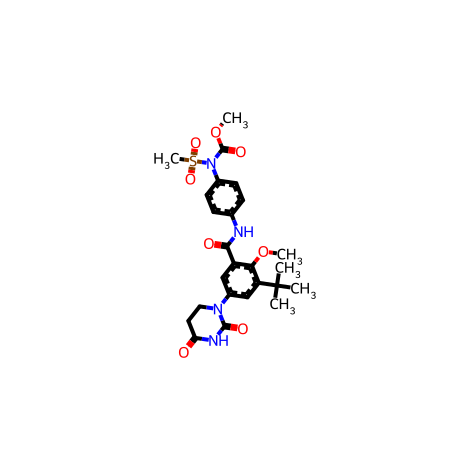 COC(=O)N(c1ccc(NC(=O)c2cc(N3CCC(=O)NC3=O)cc(C(C)(C)C)c2OC)cc1)S(C)(=O)=O